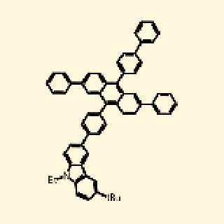 CCn1c2ccc(-c3ccc(-c4c5ccc(-c6ccccc6)cc5c(-c5ccc(-c6ccccc6)cc5)c5ccc(-c6ccccc6)cc45)cc3)cc2c2cc(C(C)(C)C)ccc21